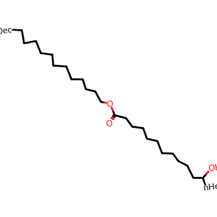 CCCCCCCCCCCCCCCCCCCCCCOC(=O)CCCCCCCCCCC(O)CCCCCC